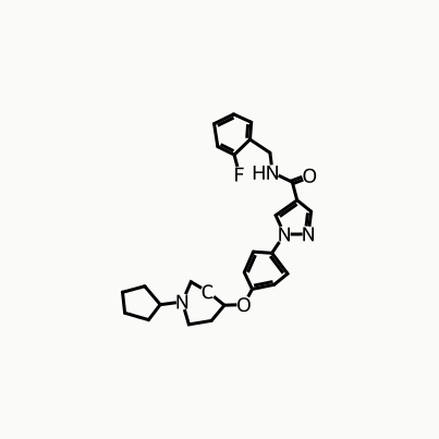 O=C(NCc1ccccc1F)c1cnn(-c2ccc(OC3CCN(C4CCCC4)CC3)cc2)c1